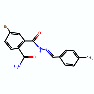 Cc1ccc(C=NNC(=O)c2cc(Br)ccc2C(N)=O)cc1